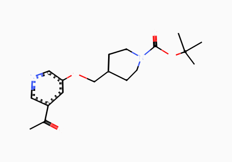 CC(=O)c1cncc(OCC2CCN(C(=O)OC(C)(C)C)CC2)c1